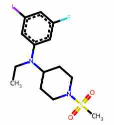 CCN(c1cc(F)cc(I)c1)C1CCN(S(C)(=O)=O)CC1